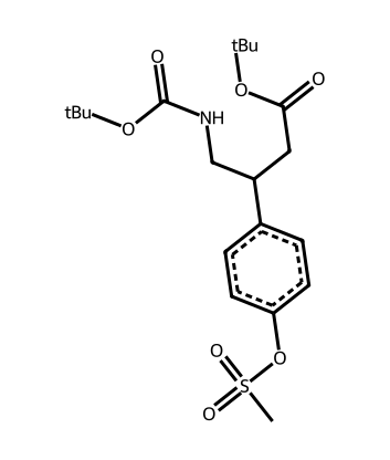 CC(C)(C)OC(=O)CC(CNC(=O)OC(C)(C)C)c1ccc(OS(C)(=O)=O)cc1